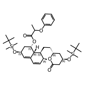 CC(Oc1ccccc1)C(=O)O[C@H]1C[C@H](O[Si](C)(C)C(C)(C)C)C=C2C=C[C@H](C)[C@H](CC[C@@H]3C[C@@H](O[Si](C)(C)C(C)(C)C)CC(=O)O3)[C@H]21